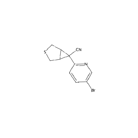 N#CC1(c2ccc(Br)cn2)C2CSCC21